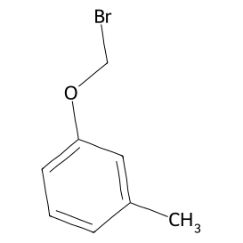 Cc1cccc(OCBr)c1